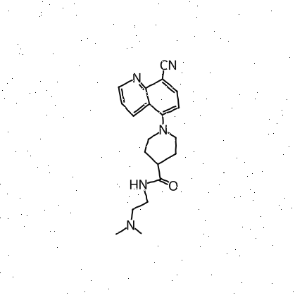 CN(C)CCNC(=O)C1CCN(c2ccc(C#N)c3ncccc23)CC1